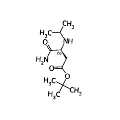 CC(C)N[C@@H](CC(=O)OC(C)(C)C)C(N)=O